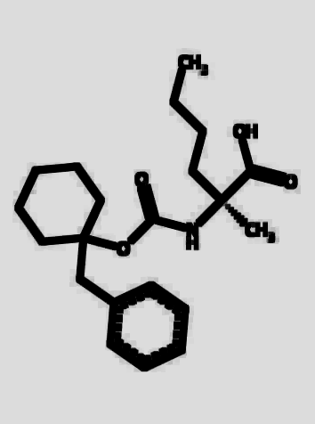 CCCC[C@](C)(NC(=O)OC1(Cc2ccccc2)CCCCC1)C(=O)O